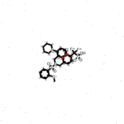 COc1ccccc1S(=O)(=O)N(Cc1ccc(C(F)(F)P(=O)(O)O)c(Cl)c1)Cc1ccccc1N1CCCCC1